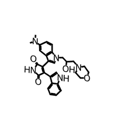 CN(C)c1ccc2c(c1)c(C1=C(c3c[nH]c4ccccc34)C(=O)NC1=O)cn2CC(O)CN1CCOCC1